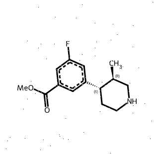 COC(=O)c1cc(F)cc([C@H]2CCNC[C@@H]2C)c1